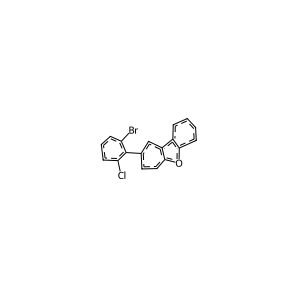 Clc1cccc(Br)c1-c1ccc2oc3ccccc3c2c1